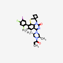 C=CC(=O)N1C[C@H](C)N(c2nc(=O)n3c4c(c(-c5cc(I)c(F)cc5F)c(C)cc24)SCC2(CCC2)C3)C[C@H]1C